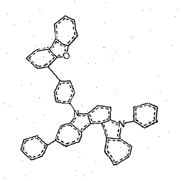 c1ccc(-c2ccc3c4c5c6ccccc6n(-c6ccccc6)c5ccc4n(-c4ccc(-c5cccc6c5oc5ccccc56)cc4)c3c2)cc1